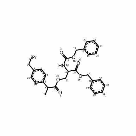 CC(C)Cc1ccc(C(C)C(=O)OCC(NC(=O)OCc2ccccc2)C(=O)OCc2ccccc2)cc1